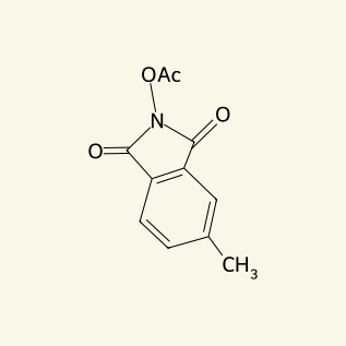 CC(=O)ON1C(=O)c2ccc(C)cc2C1=O